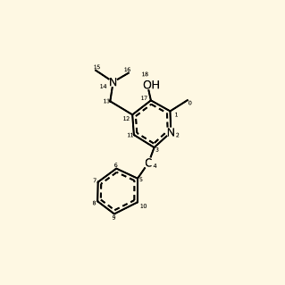 Cc1nc(Cc2ccccc2)cc(CN(C)C)c1O